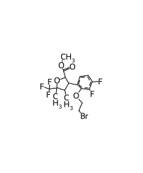 COC(=O)C1OC(C)(C(F)(F)F)C(C)C1c1ccc(F)c(F)c1OCCBr